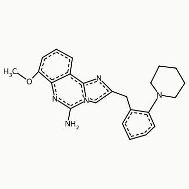 COc1cccc2c1nc(N)n1cc(Cc3ccccc3N3CCCCC3)nc21